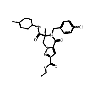 CCOC(=O)c1cc2n(n1)CC(C)(C(=O)NC1CCC(C)CC1)N(Cc1ccc(Cl)cc1)C2=O